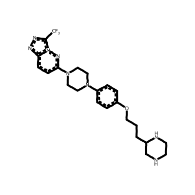 FC(F)(F)c1nnc2ccc(N3CCN(c4ccc(OCCCC5CNCCN5)cc4)CC3)nn12